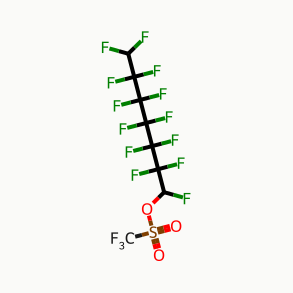 O=S(=O)(OC(F)C(F)(F)C(F)(F)C(F)(F)C(F)(F)C(F)(F)C(F)F)C(F)(F)F